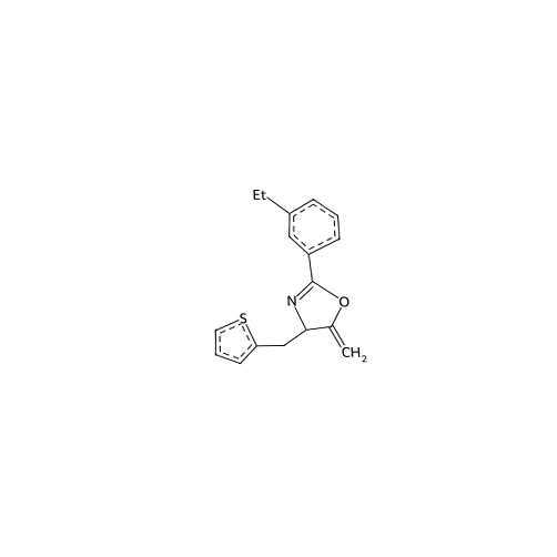 C=C1OC(c2cccc(CC)c2)=NC1Cc1cccs1